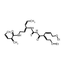 C=C(/C=C\C)C(=O)NC/C=C(\C=C/C)NC(=S)NC(=O)C(/C=C\COCC)=C/COCC